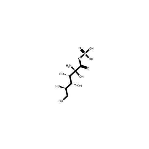 N[C@](O)(C(=O)OP(=O)(O)O)[C@@H](O)[C@H](O)[C@H](O)CO